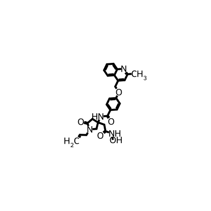 C=CCN1CC(CC(=O)NO)(NC(=O)c2ccc(OCc3cc(C)nc4ccccc34)cc2)CC1=O